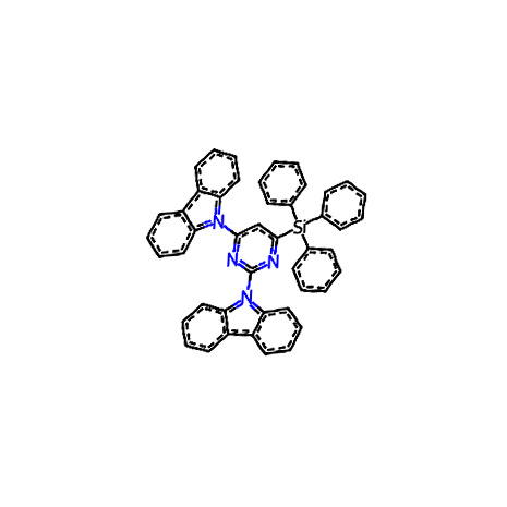 c1ccc([Si](c2ccccc2)(c2ccccc2)c2cc(-n3c4ccccc4c4ccccc43)nc(-n3c4ccccc4c4ccccc43)n2)cc1